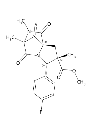 COC(=O)[C@@]1(C)C[C@@]23C(=O)N(C)C(C)(C(=O)N2[C@H]1c1ccc(F)cc1)S3=S